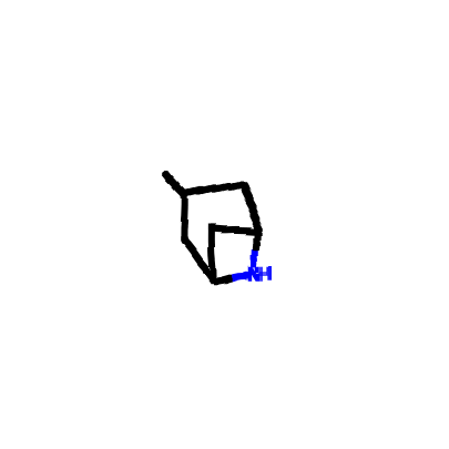 CC1CC2CC(C1)N2